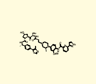 COc1cc(N2CCN(CCC(=O)N[C@H](C(=O)N3C[C@H](O)C[C@H]3C(=O)N[C@@H](C)c3ccc(-c4scnc4C)cc3)C(C)(C)C)C[C@@H]2C)ccc1NC(=O)c1cccc(-c2cc[nH]n2)n1